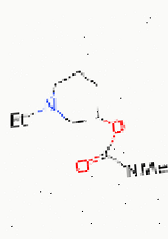 CCN1CCCC(OC(=O)NC)C1